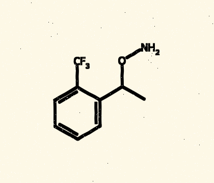 CC(ON)c1ccccc1C(F)(F)F